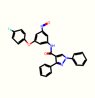 O=Nc1cc(NC(=O)c2cn(-c3ccccc3)nc2-c2ccccc2)cc(Oc2ccc(F)cc2)c1